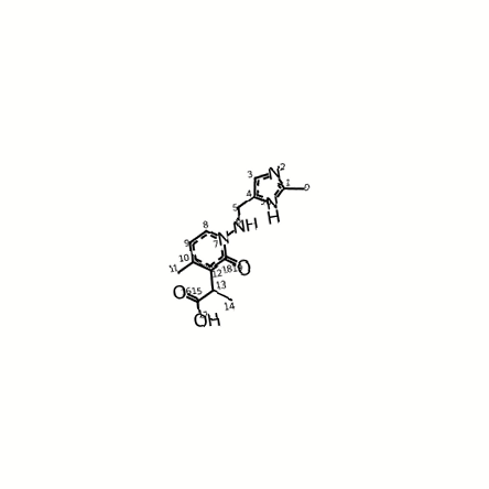 Cc1ncc(CNn2ccc(C)c(C(C)C(=O)O)c2=O)[nH]1